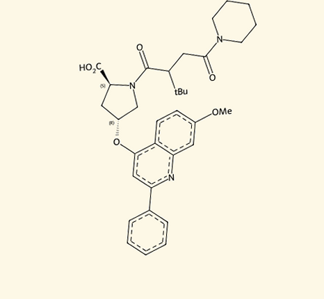 COc1ccc2c(O[C@@H]3C[C@@H](C(=O)O)N(C(=O)C(CC(=O)N4CCCCC4)C(C)(C)C)C3)cc(-c3ccccc3)nc2c1